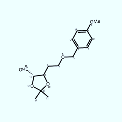 COc1ccc(COCCC2OC(C)(C)O[C@@H]2C=O)cc1